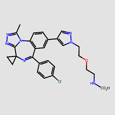 Cc1nnc2n1-c1ccc(-c3cnn(CCOCCNC(=O)O)c3)cc1C(c1ccc(Cl)cc1)=NC21CC1